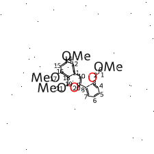 COCOc1ccccc1/C=C/c1cc(OC)cc(OC)c1C(=O)OC